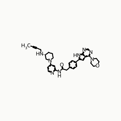 CC#CCN[C@@H]1CCCN(c2ccnc(NC(=O)Cc3ccc(-c4cc5c(N6CCOCC6)ncnc5[nH]4)cc3)c2)C1